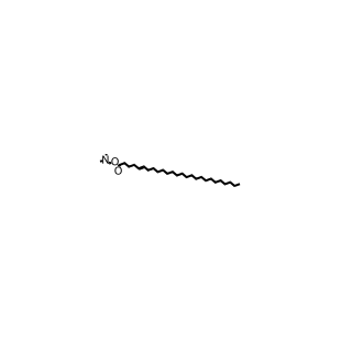 CCCCCCCCCCCCCCCCCCCCC=CCCCC(=O)OCN(C)C